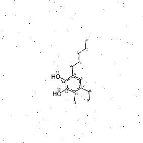 CCCCCc1cc(CC)c(C)c(O)c1O